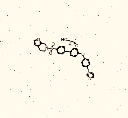 O=CNO.O=S(=O)(c1ccc(-c2ccc(Oc3ccc(-n4ccnc4)cc3)cc2)cc1)N1CCc2ccoc2C1